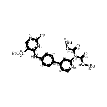 CCOC(=O)c1cnc(Cl)nc1Nc1ccc(-c2ccnc(N(C(=O)OC(C)(C)C)C(=O)OC(C)(C)C)c2)cc1